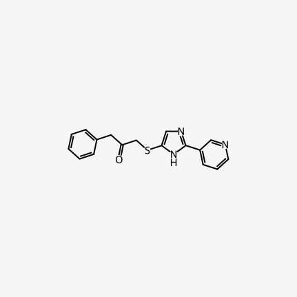 O=C(CSc1cnc(-c2cccnc2)[nH]1)Cc1ccccc1